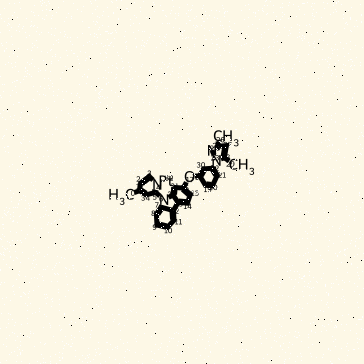 Cc1ccnc(-n2c3ccccc3c3ccc(Oc4cccc(-n5nc(C)cc5C)c4)[c]([Pt])c32)c1